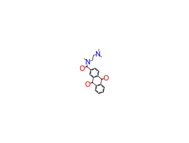 CN(C)CCN(C)C(=O)c1ccc2c(c1)C(=O)c1ccccc1C2=O